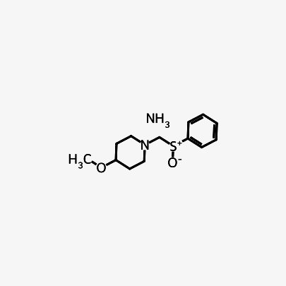 COC1CCN(C[S+]([O-])c2ccccc2)CC1.N